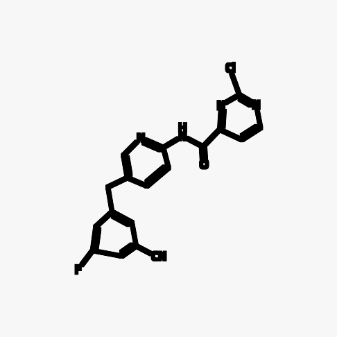 N#Cc1cc(F)cc(Cc2ccc(NC(=O)c3ccnc(Cl)n3)nc2)c1